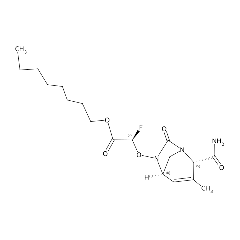 CCCCCCCCOC(=O)[C@@H](F)ON1C(=O)N2C[C@H]1C=C(C)[C@H]2C(N)=O